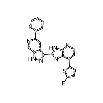 Fc1ccc(-c2ccnc3[nH]c(-c4n[nH]c5cnc(-c6ccccn6)cc45)nc23)s1